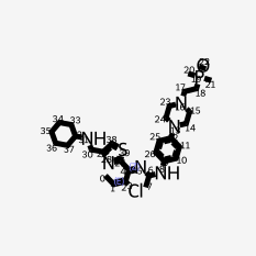 C/C=C(Cl)\C(=N/C(C)Nc1ccc(N2CCN(CCP(C)(C)=O)CC2)cc1)c1nc(CNC2CCCCC2)cs1